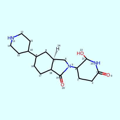 O=C1CCC(N2C[C@@H]3CC(C4CCNCC4)CCC3C2=O)C(O)N1